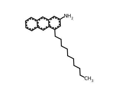 CCCCCCCCCCc1cc(N)cc2cc3ccccc3cc12